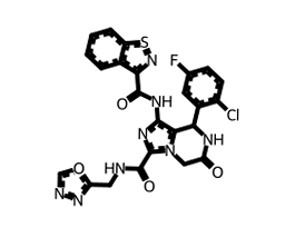 O=C1Cn2c(C(=O)NCc3nnco3)nc(NC(=O)c3nsc4ccccc34)c2C(c2cc(F)ccc2Cl)N1